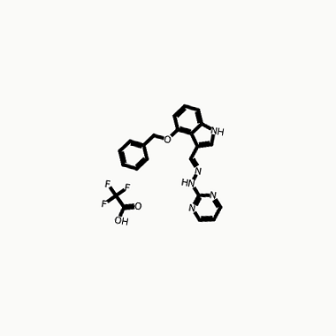 C(=N\Nc1ncccn1)/c1c[nH]c2cccc(OCc3ccccc3)c12.O=C(O)C(F)(F)F